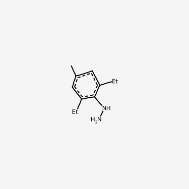 CCc1cc(C)cc(CC)c1NN